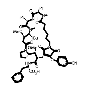 CC[C@H](C)[C@@H]([C@@H](CC(=O)N1CCC[C@H]1[C@H](OC)[C@@H](C)C(=O)N[C@@H](Cc1ccccc1)C(=O)O)OC)N(C)C(=O)[C@@H](NC(=O)[C@H](C(C)C)N(C)C(=O)CCCCCN1C(=O)C=C(Oc2ccc(C#N)cc2)C1=O)C(C)C